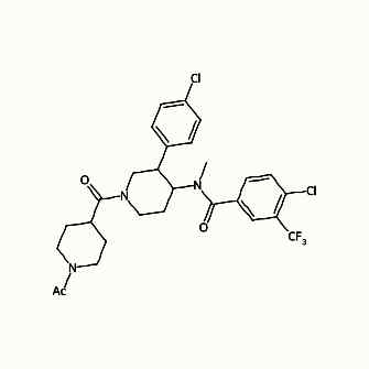 CC(=O)N1CCC(C(=O)N2CCC(N(C)C(=O)c3ccc(Cl)c(C(F)(F)F)c3)C(c3ccc(Cl)cc3)C2)CC1